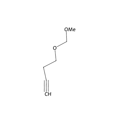 C#CCCOCOC